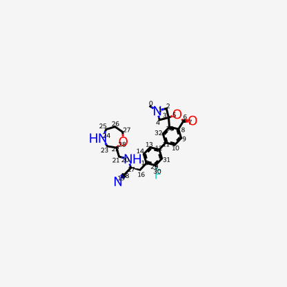 CN1CC2(C1)OC(=O)c1ccc(-c3ccc(C[C@@H](C#N)NCC4CNCCCO4)c(F)c3)cc12